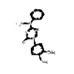 CC(=O)Oc1ccc(-n2cnc(N(N)c3ccccc3)nc2=O)cc1OC(C)=O